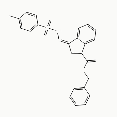 Cc1ccc(S(=O)(=O)N/N=C2/CC(C(=O)OCc3ccccc3)c3ccccc32)cc1